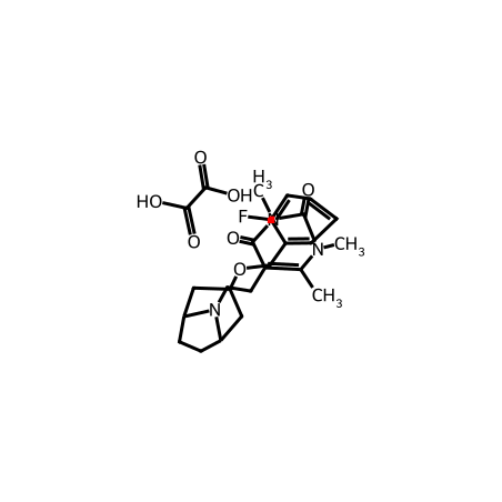 Cc1c(CCN2C3CCC2CC(OCc2ccccc2F)C3)c(=O)n(C)c(=O)n1C.O=C(O)C(=O)O